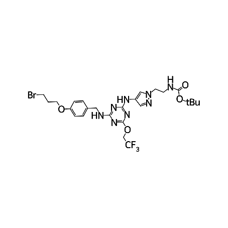 CC(C)(C)OC(=O)NCCn1cc(Nc2nc(NCc3ccc(OCCCBr)cc3)nc(OCC(F)(F)F)n2)cn1